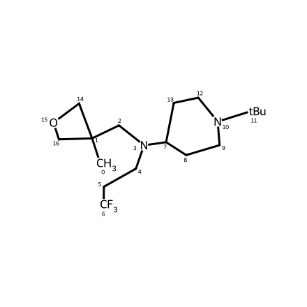 CC1(CN(CCC(F)(F)F)C2CCN(C(C)(C)C)CC2)COC1